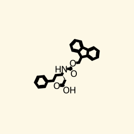 O=C(O)C[C@H](CCc1ccccc1)NC(=O)OCC1c2ccccc2-c2ccccc21